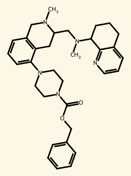 CN1Cc2cccc(N3CCN(C(=O)OCc4ccccc4)CC3)c2CC1CN(C)C1CCCc2cccnc21